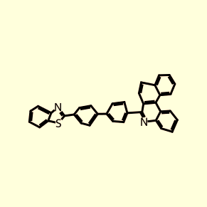 c1ccc2c(c1)ccc1c(-c3ccc(-c4ccc(-c5nc6ccccc6s5)cc4)cc3)nc3ccccc3c12